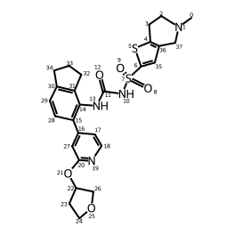 CN1CCc2sc(S(=O)(=O)NC(=O)Nc3c(-c4ccnc(OC5CCOC5)c4)ccc4c3CCC4)cc2C1